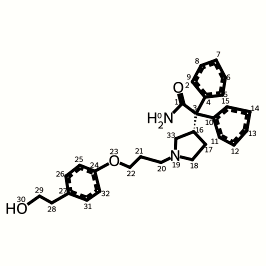 NC(=O)C(c1ccccc1)(c1ccccc1)[C@@H]1CCN(CCCOc2ccc(CCO)cc2)C1